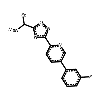 CCC(NC)c1nc(-c2ccc(-c3cccc(F)c3)cn2)no1